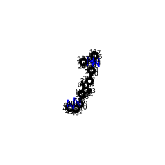 CC1(C)C2=C(c3ccc(-c4ccc(-c5nc6ccccc6n5-c5ccccc5)cc4)cc31)C(C)(C)c1cc(-c3ccc4ccc5cccnc5c4n3)ccc12